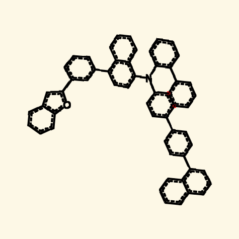 c1ccc(-c2ccccc2N(c2ccc(-c3ccc(-c4cccc5ccccc45)cc3)cc2)c2ccc(-c3cccc(-c4cc5ccccc5o4)c3)c3ccccc23)cc1